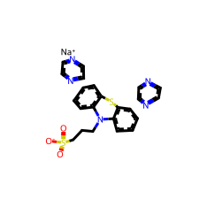 O=S(=O)([O-])CCCN1c2ccccc2Sc2ccccc21.[Na+].c1cnccn1.c1cnccn1